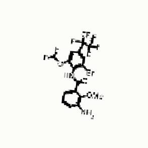 COc1c(N)cccc1C(=O)Nc1c(Br)cc(C(F)(C(F)(F)F)C(F)(F)Cl)cc1OC(F)F